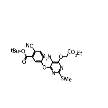 CCOC(=O)COc1nc(SC)nc(Oc2ccc(C#N)c(C(=O)OC(C)(C)C)c2)c1[N+](=O)[O-]